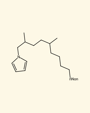 CCCCCCCCCCCCCC(C)CCC(C)Cn1cccc1